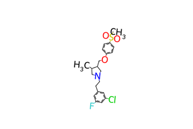 CC1CN(CCc2cc(F)cc(Cl)c2)CC1COc1ccc(S(C)(=O)=O)cc1